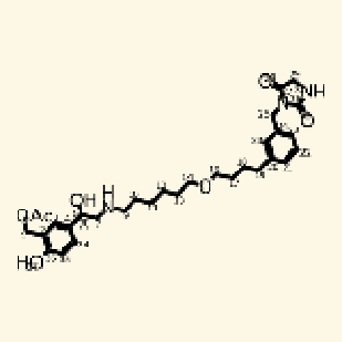 CC(=O)OCc1cc([C@@H](O)CNCCCCCCOCCCCc2cccc(CN3C(=O)CNC3=O)c2)ccc1O